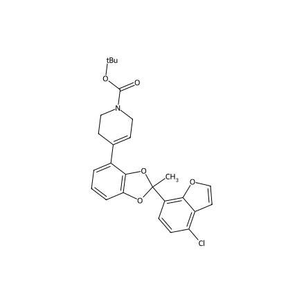 CC(C)(C)OC(=O)N1CC=C(c2cccc3c2OC(C)(c2ccc(Cl)c4ccoc24)O3)CC1